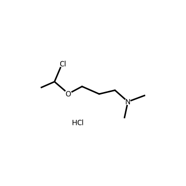 CC(Cl)OCCCN(C)C.Cl